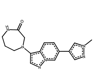 Cn1cc(-c2ccc3c(N4CCCNC(=O)C4)cnn3c2)cn1